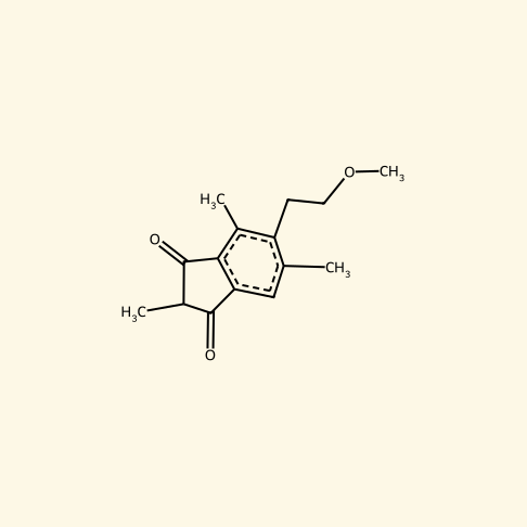 COCCc1c(C)cc2c(c1C)C(=O)C(C)C2=O